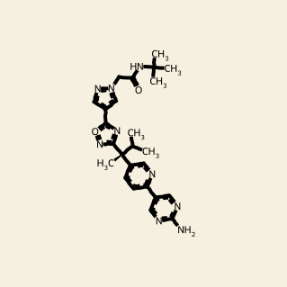 CC(C)[C@](C)(c1ccc(-c2cnc(N)nc2)nc1)c1noc(-c2cnn(CC(=O)NC(C)(C)C)c2)n1